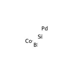 [B].[Co].[Pd].[Si]